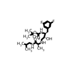 CC(C)CNC(=O)[C@H](C)NC[C@@H](O)[C@H](Cc1cc(F)cc(F)c1)NC(=O)OC(C)(C)C